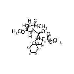 COC(=O)N[C@H](C(=O)N1CC2(CCCCC2)C[C@H]1C(=O)OC)C(C)(C)C